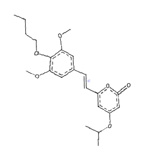 CCCCOc1c(OC)cc(/C=C/c2cc(OC(C)C)cc(=O)o2)cc1OC